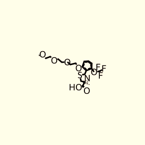 COCCOCCOCCOc1cccc(OC(F)(F)F)c1C1=N[C@@](C)(C(=O)O)CS1